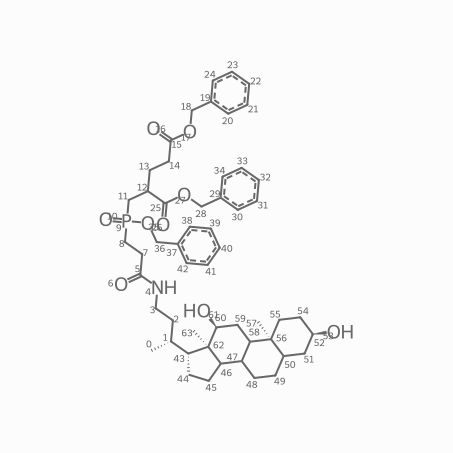 C[C@H](CCNC(=O)CCP(=O)(CC(CCC(=O)OCc1ccccc1)C(=O)OCc1ccccc1)OCc1ccccc1)[C@H]1CCC2C3CCC4C[C@H](O)CC[C@]4(C)C3C[C@H](O)[C@@]21C